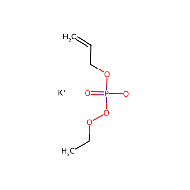 C=CCOP(=O)([O-])OOCC.[K+]